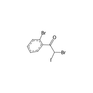 O=C(c1ccccc1Br)C(Br)I